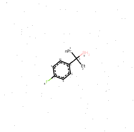 BC(CC)(CCC)c1ccc(F)cc1